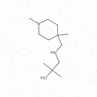 CN1CCC(C)(CNCC(C)(C)O)CC1